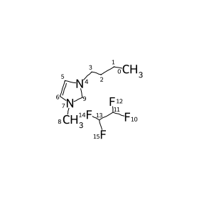 CCCCN1C=CN(C)C1.FC(F)C(F)F